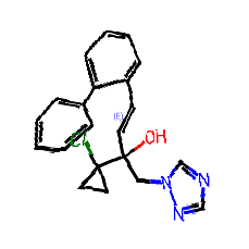 OC(/C=C/c1ccccc1-c1ccccc1)(Cn1cncn1)C1(Cl)CC1